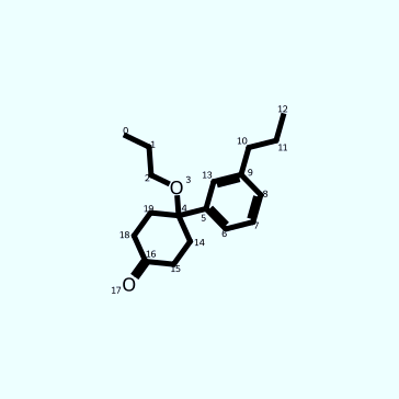 CCCOC1(c2cccc(CCC)c2)CCC(=O)CC1